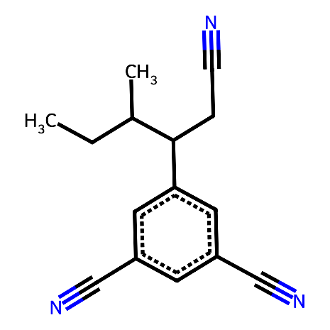 CCC(C)C(CC#N)c1cc(C#N)cc(C#N)c1